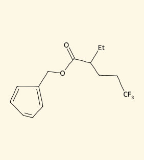 CCC(CCC(F)(F)F)C(=O)OCc1ccccc1